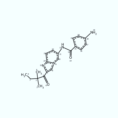 CCC(C)(C)C(=O)c1cn2cc(NC(=O)c3ccc(N)cc3)ccc2n1